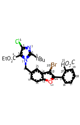 CCCCc1nc(Cl)c(C(=O)OCC)n1Cc1ccc2oc(-c3ccccc3C(=O)O)c(Br)c2c1